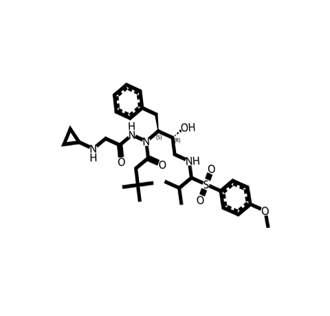 COc1ccc(S(=O)(=O)C(NC[C@@H](O)[C@H](Cc2ccccc2)N(NC(=O)CNC2CC2)C(=O)CC(C)(C)C)C(C)C)cc1